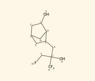 OC1CC2CC(CC(O)(CF)C(F)(F)F)C1C2